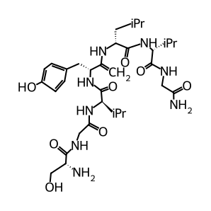 C=C(N[C@H](CC(C)C)C(=O)N[C@@H](C(=O)NCC(N)=O)C(C)C)[C@@H](Cc1ccc(O)cc1)NC(=O)[C@H](NC(=O)CNC(=O)[C@H](N)CO)C(C)C